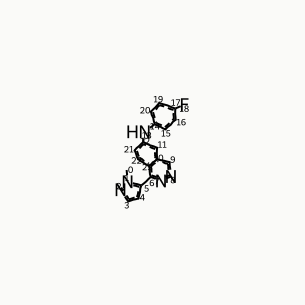 Cn1nccc1-c1nncc2cc(Nc3ccc(F)cc3)ccc12